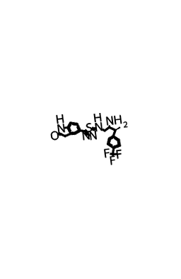 C[C@@H](c1ccc(C(F)(F)F)cc1)[C@H](N)CNc1nnc(-c2ccc3c(c2)CC(=O)N3)s1